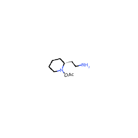 CC(=O)ON1CCCC[C@@H]1CCN